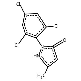 Cc1cc(=O)n(-c2c(Cl)cc(Cl)cc2Cl)[nH]1